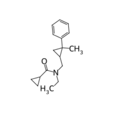 CCN(CC1CC1(C)c1ccccc1)C(=O)C1CC1